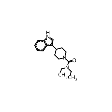 CCN(CC)C(=O)N1CCC(c2c[nH]c3ccccc23)CC1